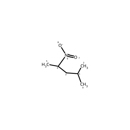 CC(C)CC(C)[N+](=O)[O-]